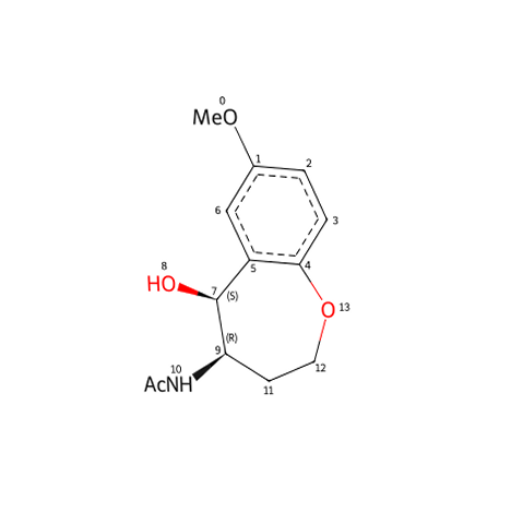 COc1ccc2c(c1)[C@H](O)[C@H](NC(C)=O)CCO2